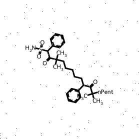 CCCCCC(C)(C)C(=O)C(CCCCCC(C)(C)C(=O)C(c1ccccc1)S(N)(=O)=O)c1ccccc1